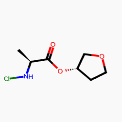 C[C@H](NCl)C(=O)O[C@H]1CCOC1